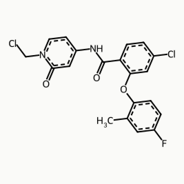 Cc1cc(F)ccc1Oc1cc(Cl)ccc1C(=O)Nc1ccn(CCl)c(=O)c1